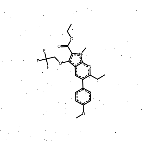 CCOC(=O)c1c(OCC(F)(F)F)c2cc(-c3ccc(OC)cc3)c(CC)nc2n1C